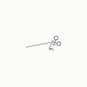 CCCCCCCCCCCCCC(CCN)O[Si](c1ccccc1)(c1ccccc1)C(C)(C)C